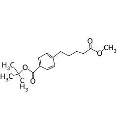 COC(=O)CCCCc1ccc(C(=O)OC(C)(C)C)cc1